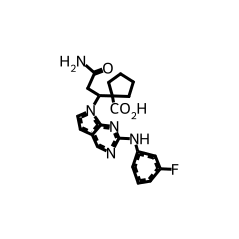 NC(=O)CC(n1ccc2cnc(Nc3cccc(F)c3)nc21)C1(C(=O)O)CCCC1